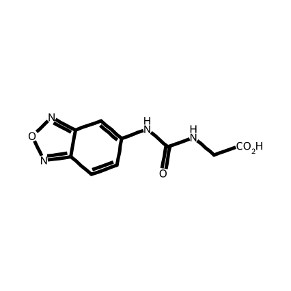 O=C(O)CNC(=O)Nc1ccc2nonc2c1